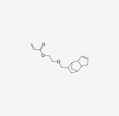 C=CC(=O)OCCOCC1CC2CC1C1C=CCC21